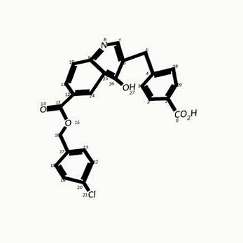 O=C(O)c1ccc(Cc2cnc3ccc(C(=O)OCc4ccc(Cl)cc4)cc3c2O)cc1